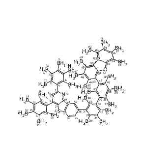 Bc1c(B)c(B)c(-c2nc(-c3c(B)c(B)c(B)c(B)c3B)c3sc4ccc(-c5c(B)c(B)c(B)c(-c6c(B)c(B)c(B)c(-c7c(B)c(B)c(B)c8c7oc7c(B)c(B)c(B)c(B)c78)c6B)c5B)cc4c3n2)c(B)c1B